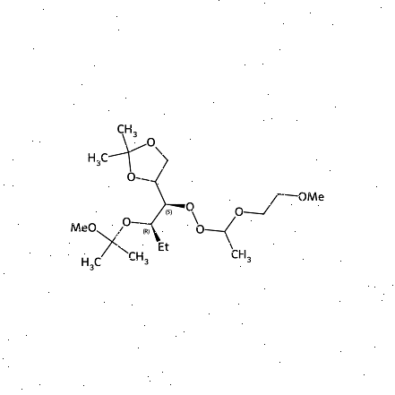 CC[C@@H](OC(C)(C)OC)[C@H](OOC(C)OCCOC)C1COC(C)(C)O1